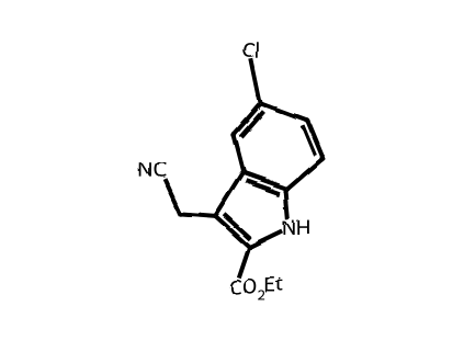 CCOC(=O)c1[nH]c2ccc(Cl)cc2c1CC#N